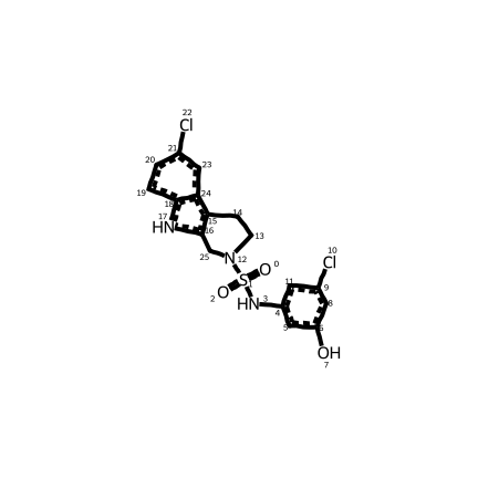 O=S(=O)(Nc1cc(O)cc(Cl)c1)N1CCc2c([nH]c3ccc(Cl)cc23)C1